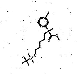 COC(=O)C(C)(CCCCCO[Si](C)(C)C(C)(C)C)c1cccc(I)c1